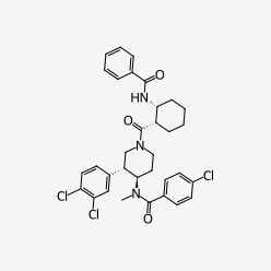 CN(C(=O)c1ccc(Cl)cc1)[C@@H]1CCN(C(=O)[C@H]2CCCC[C@H]2NC(=O)c2ccccc2)C[C@H]1c1ccc(Cl)c(Cl)c1